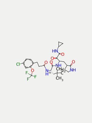 CC(C)(C)C[C@H](NC(=O)CCc1ccc(Cl)cc1OC(F)(F)F)C(=O)NC(CC1CCNC1=O)C(=O)C(=O)NC1CC1